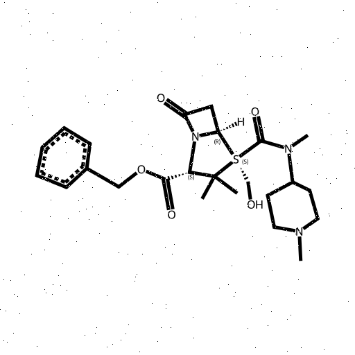 CN1CCC(N(C)C(=O)[S@]2(CO)[C@@H]3CC(=O)N3[C@@H](C(=O)OCc3ccccc3)C2(C)C)CC1